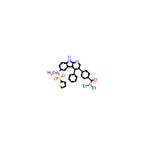 CCN(CC)C(=O)c1ccc(-c2cnc3[nH]c4ccc(N(C)S(=O)(=O)c5cccs5)cc4c3c2-c2ccccc2)cc1